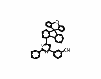 N#Cc1cccc(-c2cc(-c3cccc4c3-c3ccccc3C43c4ccccc4Oc4ccccc43)nc(-c3ccccc3)n2)c1